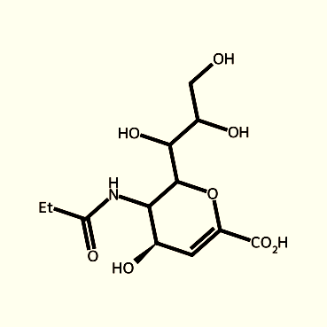 CCC(=O)NC1C(C(O)C(O)CO)OC(C(=O)O)=C[C@H]1O